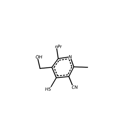 CCCc1nc(C)c(C#N)c(S)c1CO